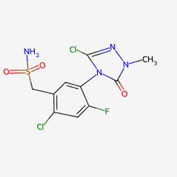 Cn1nc(Cl)n(-c2cc(CS(N)(=O)=O)c(Cl)cc2F)c1=O